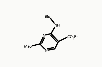 CCOC(=O)c1cnc(SC)nc1NC(C)CC